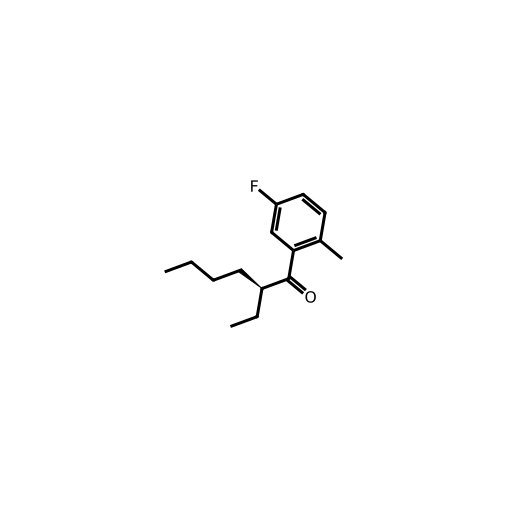 CCCC[C@H](CC)C(=O)c1cc(F)ccc1C